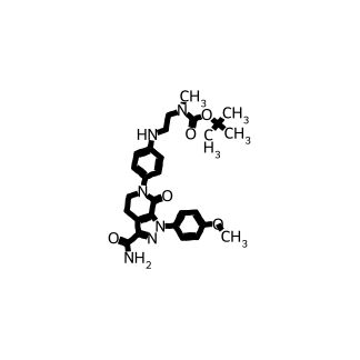 COc1ccc(-n2nc(C(N)=O)c3c2C(=O)N(c2ccc(NCCN(C)C(=O)OC(C)(C)C)cc2)CC3)cc1